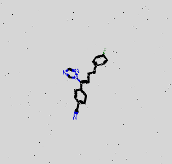 N#Cc1ccc(C(=CCCc2ccc(F)cc2)n2cncn2)cc1